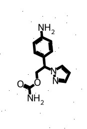 NC(=O)OCC(c1ccc(N)cc1)n1cccn1